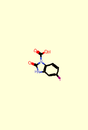 O=C(O)n1c(=O)[nH]c2cc(I)ccc21